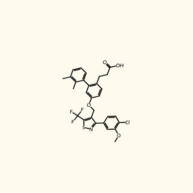 COc1cc(-c2nsc(C(F)(F)F)c2COc2ccc(CCC(=O)O)c(-c3cccc(C)c3C)c2)ccc1Cl